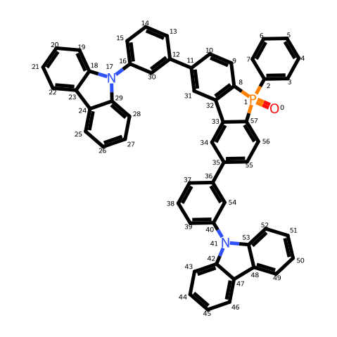 O=P1(c2ccccc2)c2ccc(-c3cccc(-n4c5ccccc5c5ccccc54)c3)cc2-c2cc(-c3cccc(-n4c5ccccc5c5ccccc54)c3)ccc21